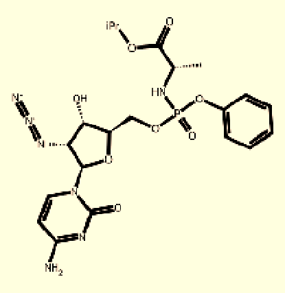 CC(C)OC(=O)[C@H](C)NP(=O)(OC[C@H]1O[C@@H](n2ccc(N)nc2=O)[C@H](N=[N+]=[N-])[C@@H]1O)Oc1ccccc1